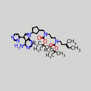 C/C=C(\C)CCN(CCCN(CC1CCC(n2cc(-c3ccncn3)c3c(N)ncnc32)C1)C(=O)OC(C)(C)C)C(=O)OC(C)(C)C